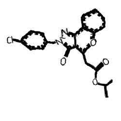 CC(C)OC(=O)Cc1oc2ccccc2c2nn(-c3ccc(Cl)cc3)c(=O)c1-2